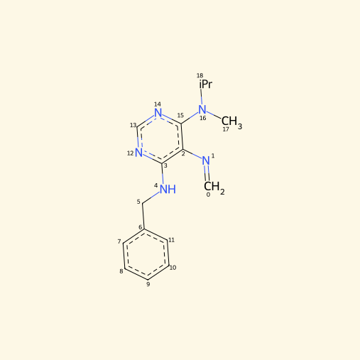 C=Nc1c(NCc2ccccc2)ncnc1N(C)C(C)C